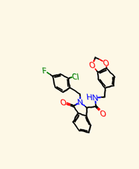 O=C(NCc1ccc2c(c1)OCO2)C1c2ccccc2C(=O)N1Cc1ccc(F)cc1Cl